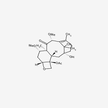 CO[C@H]1C(=O)[C@]2(C)[C@@H](OC)C[C@H]3OC[C@@]3(OC(C)=O)[C@H]2C[C@]2(O)CCC(C)=C1C2(C)C